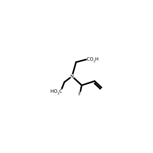 C=CC(F)N(CC(=O)O)CC(=O)O